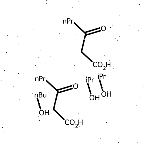 CC(C)O.CC(C)O.CCCC(=O)CC(=O)O.CCCC(=O)CC(=O)O.CCCCO